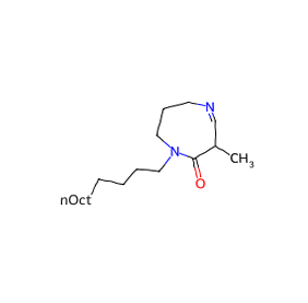 CCCCCCCCCCCCN1CCCN=CC(C)C1=O